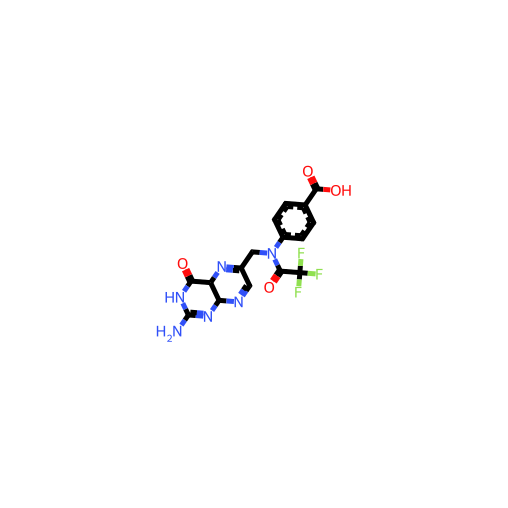 NC1=NC2N=CC(CN(C(=O)C(F)(F)F)c3ccc(C(=O)O)cc3)=NC2C(=O)N1